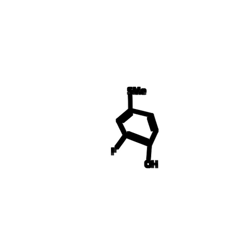 CSc1ccc(O)c(F)c1